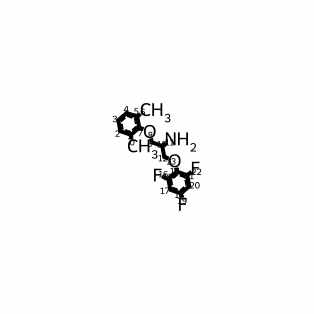 Cc1cccc(C)c1OCC(N)COc1c(F)cc(F)cc1F